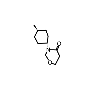 C[C@H]1CC[C@H](N2COCCC2=O)CC1